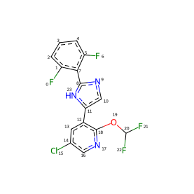 Fc1cccc(F)c1-c1ncc(-c2cc(Cl)cnc2OC(F)F)[nH]1